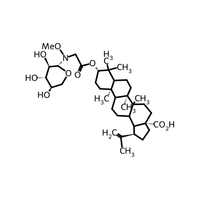 C=C(C)[C@@H]1CC[C@]2(C(=O)O)CC[C@]3(C)C(CCC4[C@@]5(C)CC[C@H](OC(=O)CN(OC)[C@@H]6OC[C@@H](O)[C@H](O)[C@H]6O)C(C)(C)C5CC[C@]43C)C12